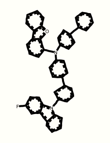 Fc1ccc2c(c1)c1ccccc1n2-c1cccc(-c2ccc(N(c3ccc(-c4ccccc4)cc3)c3cccc4c3oc3ccccc34)cc2)c1